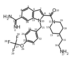 N=C(N)c1ccc2cc(C(=O)N3CCC(CCN)CC3)n(Cc3ccc(OC(F)(F)F)cc3)c2c1